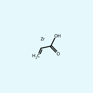 C=CC(=O)O.[Zr]